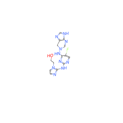 OCCn1ccnc1Nc1ncc(F)c(NN2C=Nc3[nH]cnc3C2)n1